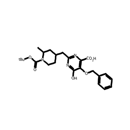 CC1CC(Cc2nc(O)c(OCc3ccccc3)c(C(=O)O)n2)CCN1C(=O)OC(C)(C)C